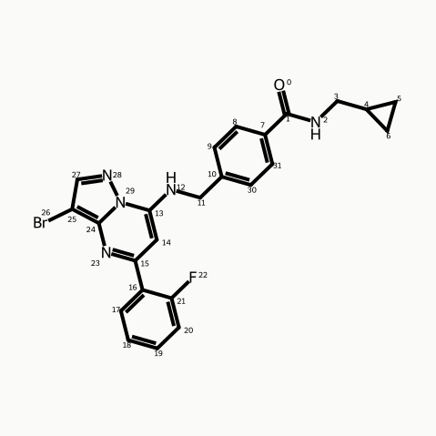 O=C(NCC1CC1)c1ccc(CNc2cc(-c3ccccc3F)nc3c(Br)cnn23)cc1